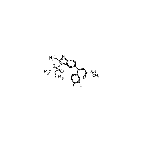 CNC(=O)/C=C(\c1ccc(F)c(F)c1)c1ccc2nc(C)n(S(=O)(=O)C(C)C)c2c1